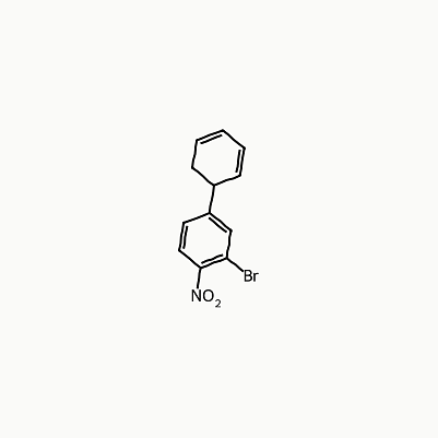 O=[N+]([O-])c1ccc(C2C=CC=CC2)cc1Br